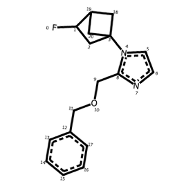 FC1CC2(n3ccnc3COCc3ccccc3)CC1C2